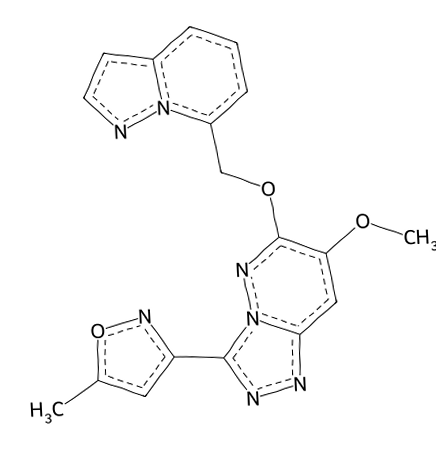 COc1cc2nnc(-c3cc(C)on3)n2nc1OCc1cccc2ccnn12